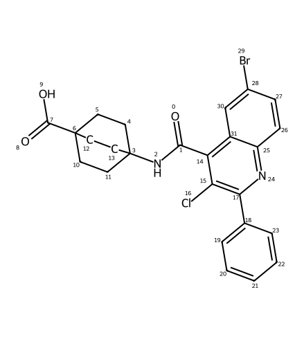 O=C(NC12CCC(C(=O)O)(CC1)CC2)c1c(Cl)c(-c2ccccc2)nc2ccc(Br)cc12